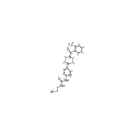 CC(C)CCNC(=O)Nc1ccc(N2CCN(C(=O)c3ccccc3C(F)(F)F)CC2)cn1